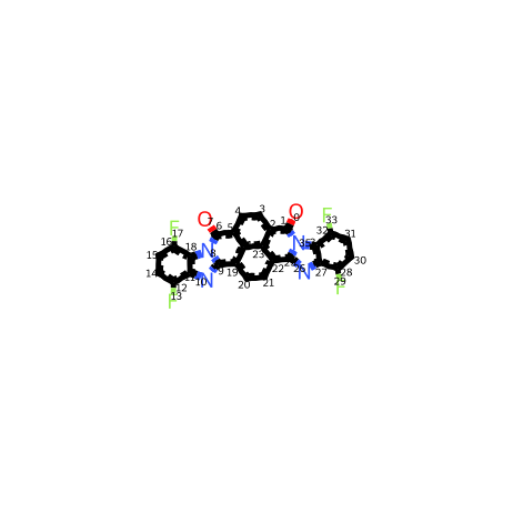 O=c1c2ccc3c(=O)n4c(nc5c(F)ccc(F)c54)c4ccc(c2c34)c2nc3c(F)ccc(F)c3n12